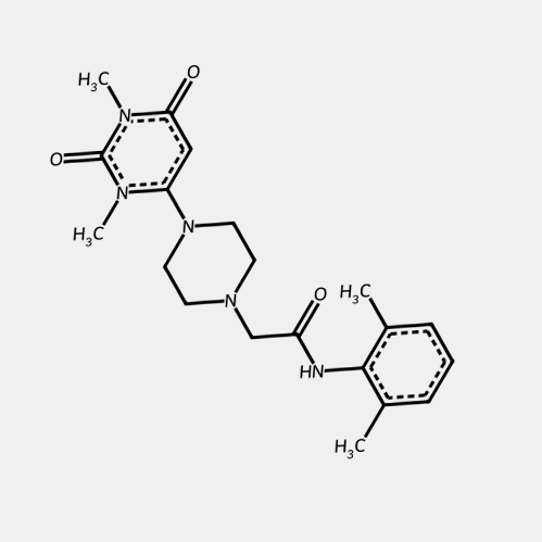 Cc1cccc(C)c1NC(=O)CN1CCN(c2cc(=O)n(C)c(=O)n2C)CC1